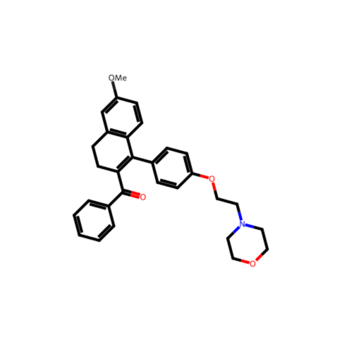 COc1ccc2c(c1)CCC(C(=O)c1ccccc1)=C2c1ccc(OCCN2CCOCC2)cc1